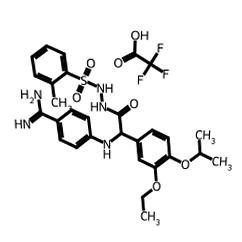 CCOc1cc(C(Nc2ccc(C(=N)N)cc2)C(=O)NNS(=O)(=O)c2ccccc2C)ccc1OC(C)C.O=C(O)C(F)(F)F